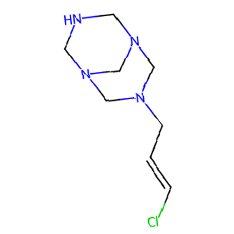 ClC=CCN1CN2CNCN(C1)C2